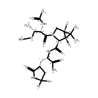 [2H]C1([2H])C[C@@H](C[C@H](NC(=O)[C@@H]2[C@@H]3[C@H](CN2C(=O)[C@@H](NC(=O)C(F)(F)F)[C@@H](C)OC(C)(C)C)C3(C)C)C(N)=O)C(=O)N1